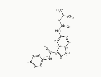 CC(C)CC(=O)Nc1ccc2[nH]nc(C(=O)Nc3ccncc3)c2c1